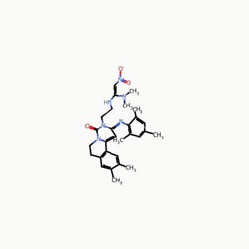 Cc1cc(C)c(/N=c2\cc3n(c(=O)n2CCN/C(=C/[N+](=O)[O-])N(C)C)CCc2cc(C)c(C)cc2-3)c(C)c1